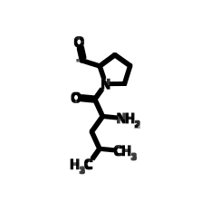 CC(C)CC(N)C(=O)N1CCCC1[C]=O